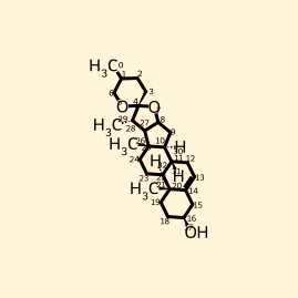 CC1CC[C@@]2(OC1)OC1C[C@H]3[C@@H]4CC=C5C[C@@H](O)CC[C@]5(C)[C@H]4CC[C@]3(C)C1[C@@H]2C